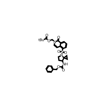 CC(C)(C)C(=O)OCn1ccc2c(S(=O)(=O)N3CCC(NC(=O)OCc4ccccc4)C34CC4)cccc2c1=O